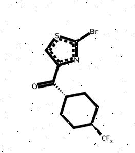 O=C(c1csc(Br)n1)[C@H]1CC[C@H](C(F)(F)F)CC1